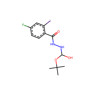 CC(C)(C)OC(O)NNC(=O)c1ccc(F)cc1I